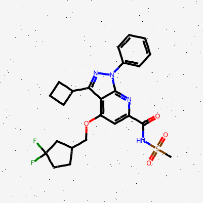 CS(=O)(=O)NC(=O)c1cc(OCC2CCC(F)(F)C2)c2c(C3CCC3)nn(-c3ccccc3)c2n1